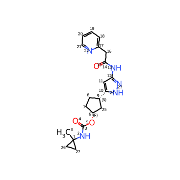 CC1(NC(=O)O[C@@H]2CC[C@H](c3cc(NC(=O)Cc4ccccn4)n[nH]3)C2)CC1